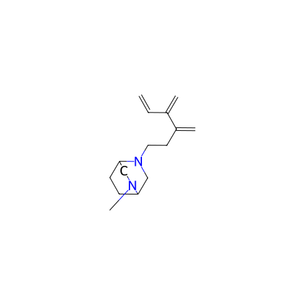 C=CC(=C)C(=C)CCN1CC2CCC1CN2C